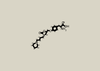 NC(Cc1ccc(OCC2CN(CCCCN3CCCCC3)C(=O)O2)cc1)C(=O)O